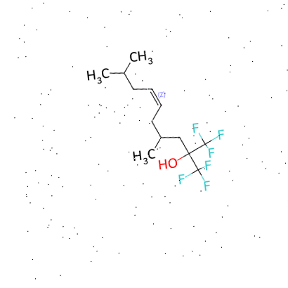 CC(C)C/C=C\CC(C)CC(O)(C(F)(F)F)C(F)(F)F